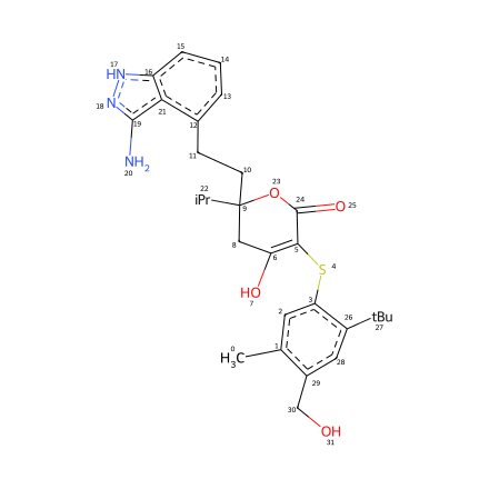 Cc1cc(SC2=C(O)CC(CCc3cccc4[nH]nc(N)c34)(C(C)C)OC2=O)c(C(C)(C)C)cc1CO